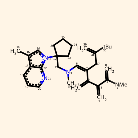 C=C(NC)C(=C)C(=C)/C(=C\N(C)CC1(n2cc(C)c3cccnc32)CCCC1)CC(=C)C(C)(C)C